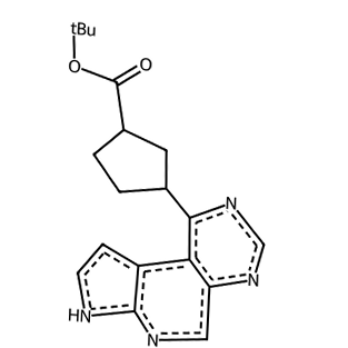 CC(C)(C)OC(=O)C1CCC(c2ncnc3cnc4[nH]ccc4c23)C1